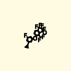 O=C1c2c(ccc(Oc3cc(F)cc(C4CC4)c3)c2C(F)F)C(F)(F)C1(F)F